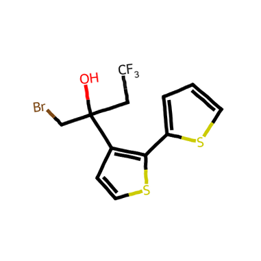 OC(CBr)(CC(F)(F)F)c1ccsc1-c1cccs1